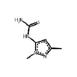 Cc1cc(NC(N)=S)n(C)n1